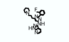 FCc1ccccc1-c1nc(CCCN2CCCCC2)cc(Nc2n[nH]c3ncccc23)n1